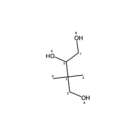 CC(C)(CO)C(O)CO